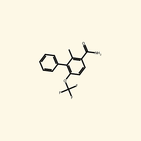 Cc1c(C(N)=O)ccc(OC(F)(F)F)c1-c1ccccc1